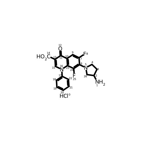 Cl.NC1CCN(c2c(F)cc3c(=O)c(C(=O)O)cn(-c4ccccc4)c3c2F)C1